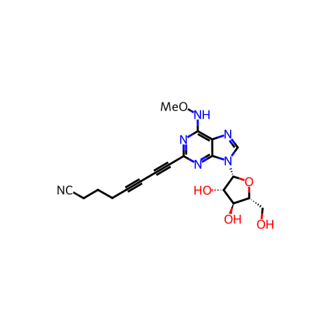 CONc1nc(C#CC#CCCCC#N)nc2c1ncn2[C@@H]1O[C@H](CO)[C@@H](O)[C@@H]1O